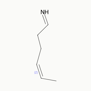 C/C=C\CCC=N